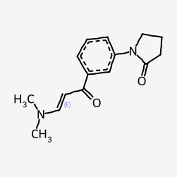 CN(C)/C=C/C(=O)c1cccc(N2CCCC2=O)c1